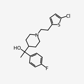 CC(O)(c1ccc(F)cc1)C1CCN(CCc2ccc(Cl)s2)CC1